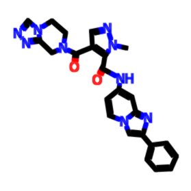 Cn1ncc(C(=O)N2CCn3cnnc3C2)c1C(=O)Nc1ccn2cc(-c3ccccc3)nc2c1